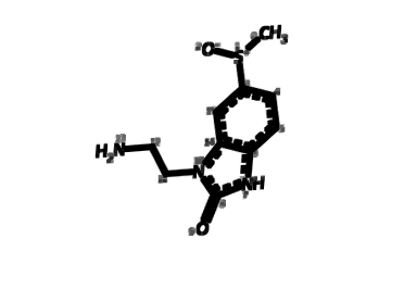 C[S+]([O-])c1ccc2[nH]c(=O)n(CCN)c2c1